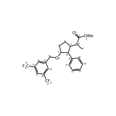 COC(=O)N(C)C1CCC(OCc2cc(C(F)(F)F)cc(C(F)(F)F)c2)C1c1ccccc1